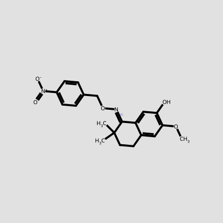 COc1cc2c(cc1O)/C(=N/OCc1ccc([N+](=O)[O-])cc1)C(C)(C)CC2